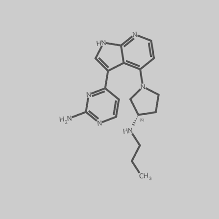 CCCN[C@H]1CCN(c2ccnc3[nH]cc(-c4ccnc(N)n4)c23)C1